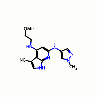 COCCNc1cc(Nc2cnn(C)c2)nc2[nH]cc(C#N)c12